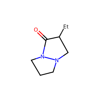 CCC1CN2CCCN2C1=O